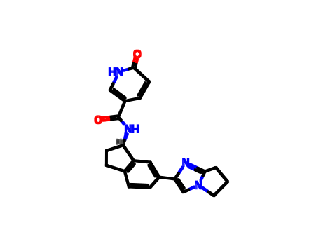 O=C(N[C@@H]1CCc2ccc(-c3cn4c(n3)CCC4)cc21)c1ccc(=O)[nH]c1